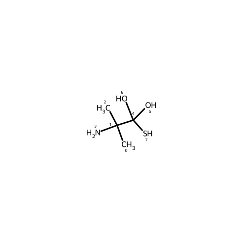 CC(C)(N)C(O)(O)S